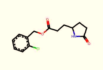 O=C1CCC(CCC(=O)OCc2ccccc2Cl)N1